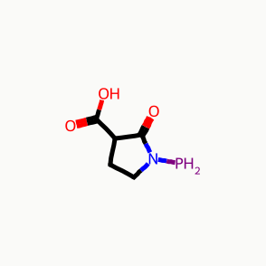 O=C(O)C1CCN(P)C1=O